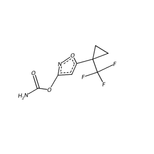 NC(=O)Oc1cc(C2(C(F)(F)F)CC2)on1